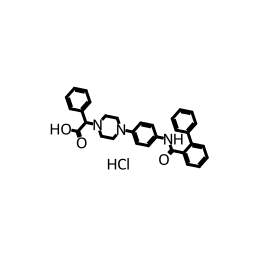 Cl.O=C(Nc1ccc(N2CCN(C(C(=O)O)c3ccccc3)CC2)cc1)c1ccccc1-c1ccccc1